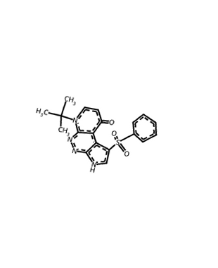 CC(C)(C)n1ccc(=O)c2c3c(S(=O)(=O)c4ccccc4)c[nH]c3nnc21